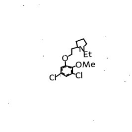 CCN1CCCC1CCOc1cc(Cl)cc(Cl)c1OC